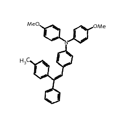 COc1ccc(N(c2ccc(C=C(c3ccccc3)c3ccc(C)cc3)cc2)c2ccc(OC)cc2)cc1